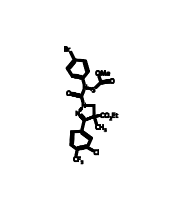 CCOC(=O)C1(C)CN(C(=O)N(SC(=O)OC)c2ccc(Br)cc2)N=C1c1ccc(C(F)(F)F)c(Cl)c1